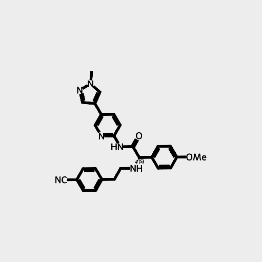 COc1ccc([C@H](NCCc2ccc(C#N)cc2)C(=O)Nc2ccc(-c3cnn(C)c3)cn2)cc1